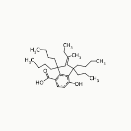 CCCCC(CCC)(CCCC)c1c(O)ccc(C(=O)O)c1C(CCC)(CCCC)CCCC